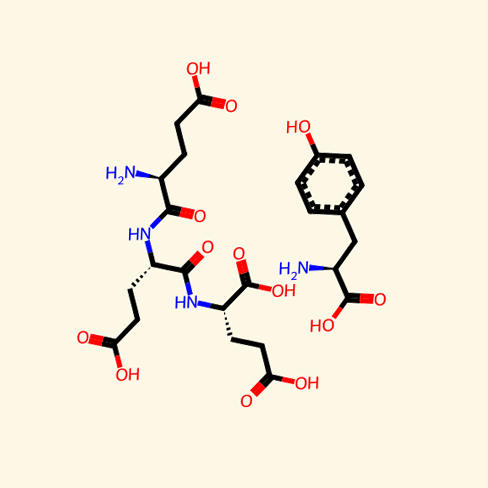 N[C@@H](CCC(=O)O)C(=O)N[C@@H](CCC(=O)O)C(=O)N[C@@H](CCC(=O)O)C(=O)O.N[C@@H](Cc1ccc(O)cc1)C(=O)O